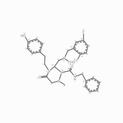 CN1CC(=O)N(CCc2ccc(O)cc2)C(CN(C=O)Cc2cc(F)ccc2F)N1C(=O)NCc1ccccc1